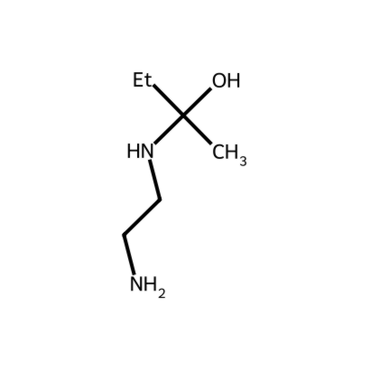 CCC(C)(O)NCCN